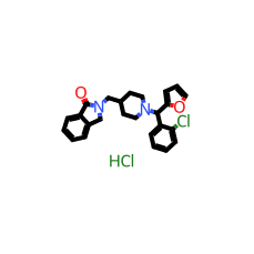 Cl.O=C1c2ccccc2CN1CC1CCN(C(c2ccco2)c2ccccc2Cl)CC1